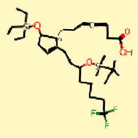 CC[Si](CC)(CC)OC1CC=C(CCC(CCCCC(F)(F)F)O[Si](C)(C)C(C)(C)C)[C@H]1CCC=C=CCC(=O)O